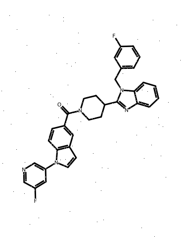 O=C(c1ccc2c(ccn2-c2cncc(F)c2)c1)N1CCC(c2nc3ccccc3n2Cc2cccc(F)c2)CC1